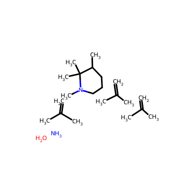 C=C(C)C.C=C(C)C.C=C(C)C.CC1CCCN(C)C1(C)C.N.O